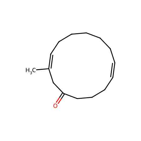 CC1=CCCCCCC=CCCCC(=O)C1